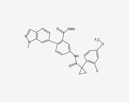 COC(=O)c1cc(NC(=O)C2(c3ccc(OC(F)(F)F)cc3F)CC2)ccc1-c1ccc2cnn(C)c2c1